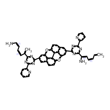 C=C/C=C\C=C(/N)c1nc(-c2cc3ccc4oc5cc(-c6nc(C(=C)/C=C\C=C/N)nc(-c7ccccn7)n6)cc6ccc7oc(c2)c3c4-c7c65)nc(-c2ccccn2)n1